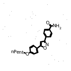 CCCCCOc1ccc(-c2cc(-c3ccc(C(N)=O)cc3)no2)cc1